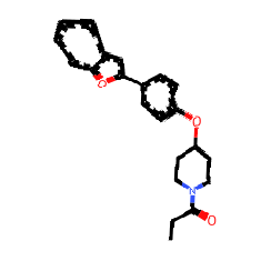 CCC(=O)N1CCC(Oc2ccc(-c3cc4ccccc4o3)cc2)CC1